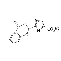 CCOC(=O)c1csc(C2CC(=O)c3ccccc3O2)n1